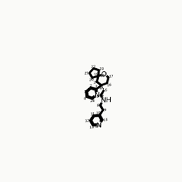 c1ccc([C@]2(CCNCCc3cccnc3)CCOC3(CCCC3)C2)nc1